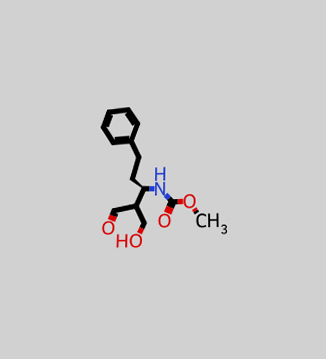 COC(=O)N[C@H](CCc1ccccc1)C(C=O)CO